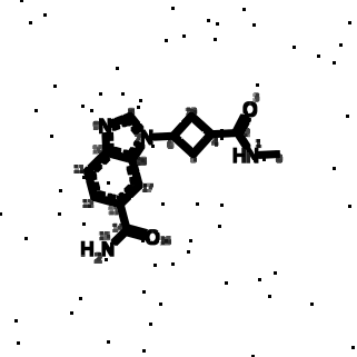 CNC(=O)C1CC(n2cnc3ccc(C(N)=O)cc32)C1